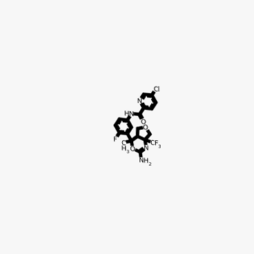 CC1(c2cc(NC(=O)c3ccc(Cl)cn3)ccc2F)OC(N)=NC2(C(F)(F)F)COCC12